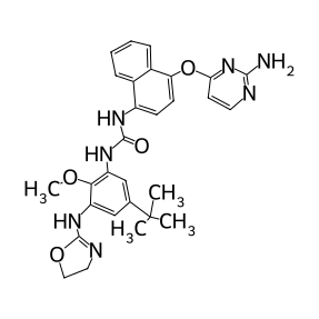 COc1c(NC(=O)Nc2ccc(Oc3ccnc(N)n3)c3ccccc23)cc(C(C)(C)C)cc1NC1=NCCO1